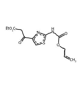 C=CCOC(=O)Nc1nc(C(=O)CC(=O)OCC)cs1